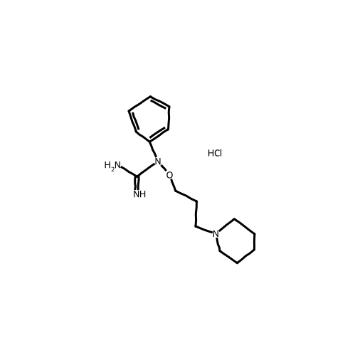 Cl.N=C(N)N(OCCCN1CCCCC1)c1ccccc1